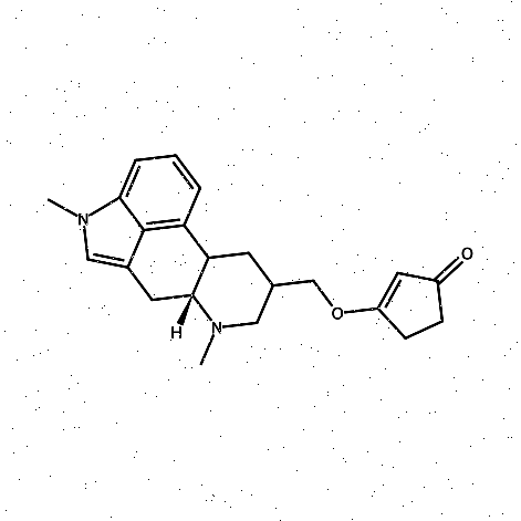 CN1CC(COC2=CC(=O)CC2)CC2c3cccc4c3c(cn4C)C[C@H]21